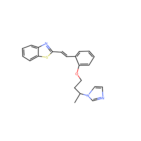 CC(CCOc1ccccc1C=Cc1nc2ccccc2s1)n1ccnc1